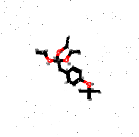 CCO[Si](Cc1ccc(OC(C)(C)C)cc1)(OCC)OCC